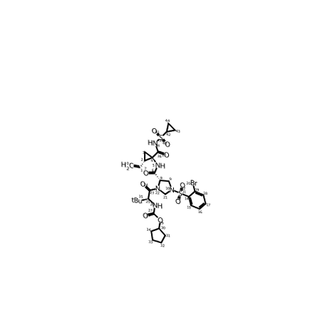 C=C[C@@H]1C[C@]1(NC(=O)[C@@H]1CN(S(=O)(=O)c2ccccc2Br)CN1C(=O)[C@@H](NC(=O)OC1CCCC1)C(C)(C)C)C(=O)NS(=O)(=O)C1CC1